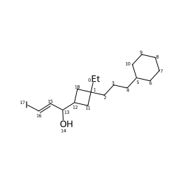 CCC1(CCCC2CCCCC2)CC(C(O)C=CI)C1